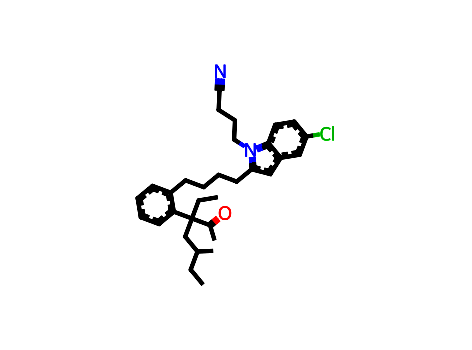 CCC(C)CC(CC)(C(C)=O)c1ccccc1CCCCc1cc2cc(Cl)ccc2n1CCCC#N